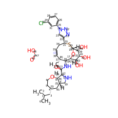 CC(C)C[C@@H]1CCO[C@@H]2[C@H](CN[C@@H]2C(=O)N[C@H]2[C@H]3O[C@H](S[C@H](c4cn(-c5cccc(Cl)c5)nn4)C/C=C\[C@H]2C)[C@H](O)[C@@H](O)[C@H]3O)C1.O=CO